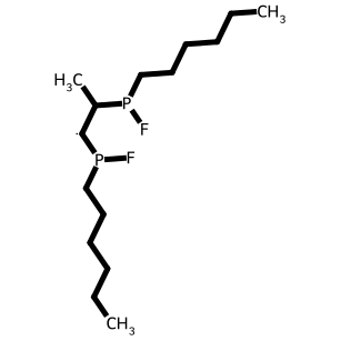 CCCCCCP(F)[CH]C(C)P(F)CCCCCC